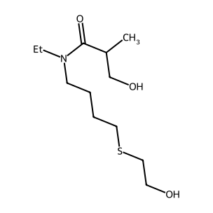 CCN(CCCCSCCO)C(=O)C(C)CO